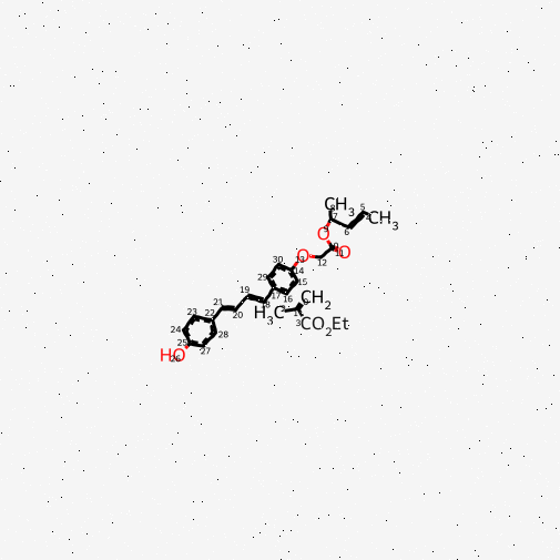 C=C(C)C(=O)OCC.CC=CC(C)OC(=O)COc1ccc(C=CC=Cc2ccc(O)cc2)cc1